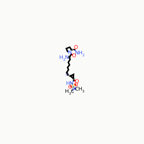 CN(C)S(=O)(=O)NC(=O)[C@H]1C[C@H]1/C=C\CCCCC[C@H](N)C(=O)N1CCC[C@H]1C(N)=O